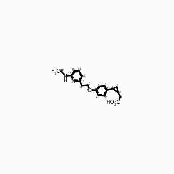 O=C(O)CC1CC1c1ccc(OCCc2cccc(NCC(F)(F)F)n2)cc1